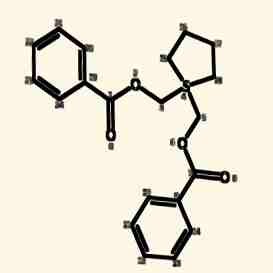 O=C(OCS1(COC(=O)c2ccccc2)CCCC1)c1ccccc1